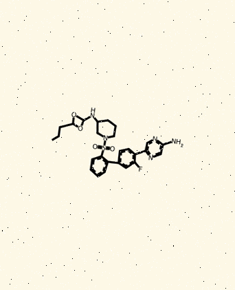 CCCC1OC(NC2CCCN(S(=O)(=O)c3ccccc3-c3ccc(-c4cnc(N)cn4)c(F)c3)C2)O1